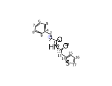 O=C(/C=C/c1ccccc1)NC(=O)Cc1cccs1